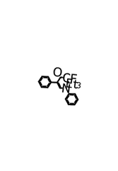 CCN(/C=C(\C(=O)C(F)(F)F)c1ccccc1)c1ccccc1